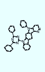 c1ccc(-c2nc(-c3ccccc3)nc(-n3c4ccccc4c4cc5c6nnccc6n(-c6ccccc6)c5cc43)n2)cc1